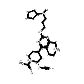 CN(CCCOc1nc2c(c(C3CCN(C(=O)O)[C@@H](CC#N)C3)n1)CCNC2)C1CCCC1